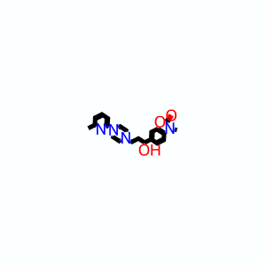 Cc1cccc(N2CCN(CCC(O)c3ccc4c(c3)oc(=O)n4C)CC2)n1